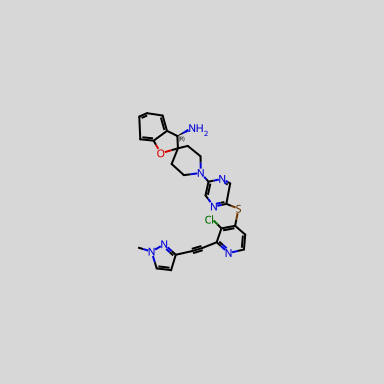 Cn1ccc(C#Cc2nccc(Sc3cnc(N4CCC5(CC4)Oc4ccccc4[C@H]5N)cn3)c2Cl)n1